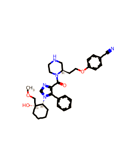 COC[C@]1(O)CCCC[C@H]1n1cnc(C(=O)N2CCNC[C@H]2CCOc2ccc(C#N)cc2)c1-c1ccccc1